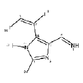 Cc1nc(C=N)c(/C(I)=C\I)n1I